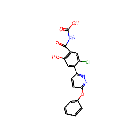 O=C(O)NC(=O)c1cc(Cl)c(-c2ccc(Oc3ccccc3)nn2)cc1O